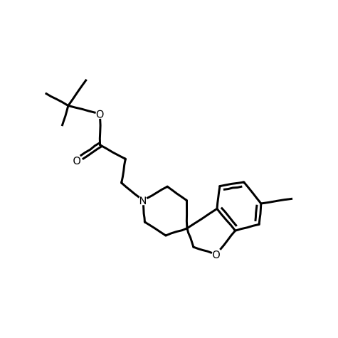 Cc1ccc2c(c1)OCC21CCN(CCC(=O)OC(C)(C)C)CC1